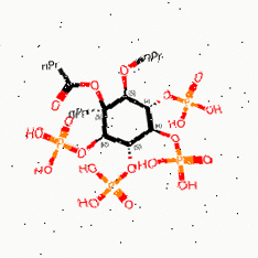 CCCO[C@H]1[C@H](OP(=O)(O)O)[C@@H](OP(=O)(O)O)[C@H](OP(=O)(O)O)[C@@H](OP(=O)(O)O)[C@@]1(CCC)OC(=O)CCC